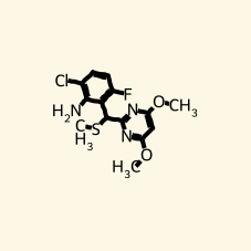 COc1cc(OC)nc(C(SC)c2c(F)ccc(Cl)c2N)n1